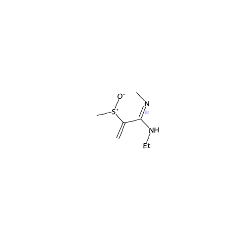 C=C(/C(=N\C)NCC)[S+](C)[O-]